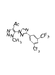 CC(=O)c1nnn(C)c1-n1cnc(-c2cc(C(F)(F)F)cc(C(F)(F)F)c2)n1